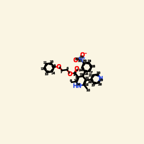 CC1=C(C(=O)OCCOc2ccccc2)C(c2cccc([N+](=O)[O-])c2)C(c2ccncc2)=C(C)N1